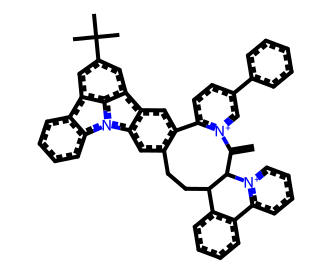 C=C1C2C(CCc3cc4c(cc3-c3ccc(-c5ccccc5)c[n+]31)c1cc(C(C)(C)C)cc3c5ccccc5n4c31)c1ccccc1-c1cccc[n+]12